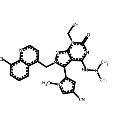 CC(C)Cn1c(=O)nc(NN(C)C)c2c(-c3cc(C#N)cn3C)n(Cc3ccnc4c(Cl)cccc34)nc21